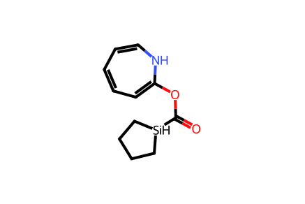 O=C(OC1=CC=CC=CN1)[SiH]1CCCC1